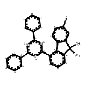 CC1(C)c2cc(Br)ccc2-c2c(-c3nc(-c4ccccc4)nc(-c4ccccc4)n3)cccc21